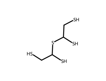 SCC(S)SC(S)CS